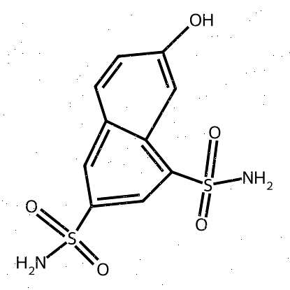 NS(=O)(=O)c1cc(S(N)(=O)=O)c2cc(O)ccc2c1